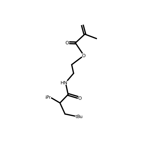 C=C(C)C(=O)OCCNC(=O)C(CC(C)(C)C)C(C)C